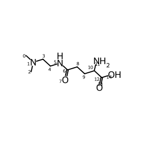 CN(C)CCNC(=O)CCC(N)C(=O)O